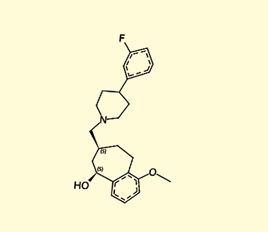 COc1cccc2c1CC[C@H](CN1CCC(c3cccc(F)c3)CC1)C[C@@H]2O